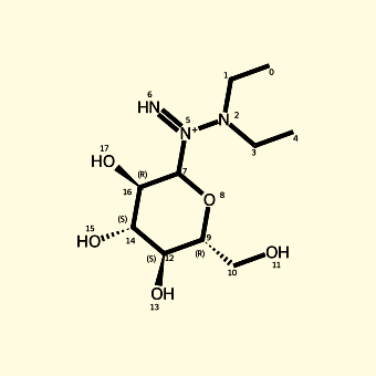 CCN(CC)[N+](=N)C1O[C@H](CO)[C@@H](O)[C@H](O)[C@H]1O